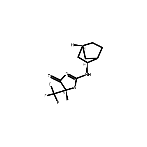 C[C@]1(C(F)(F)F)SC(N[C@H]2C[C@@H]3CCC2C3)=NC1=O